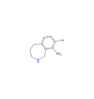 O=[N+]([O-])c1c(Br)ccc2c1CNCCC2